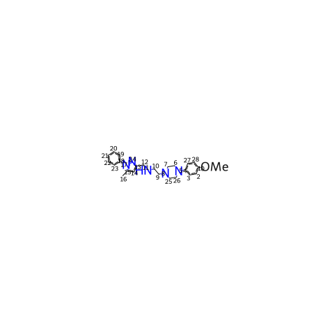 COc1ccc(N2CCN(CCNCc3cc(C)n(-c4ccccc4)n3)CC2)cc1